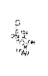 CC(C)NC(=O)N1CC(O)C2C1CCN2C(=O)C(NC(=O)OCc1ccccc1)C(C)(C)C